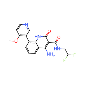 COc1ccncc1-c1cccc2c(N)c(C(=O)NCC(F)F)c(=O)[nH]c12